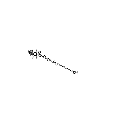 [N-]=[N+]=Nc1c(F)c(F)c(C(=O)OCCOCCOCCOCCOCCCCCCCCCCCS)c(F)c1F